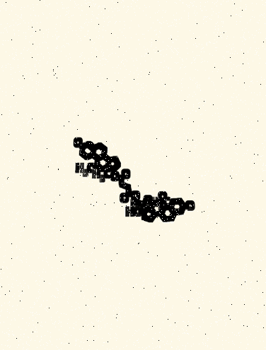 CC1CC2(C)C(OC(=O)CCC(=O)OCC(=O)C3(O)CCC4C5CCC6=CC(=O)C=CC6(C)C5C(=O)CC43C)CCC2C2CCC3=CC(=O)CCC3C12